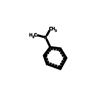 CB(C)c1ccccc1